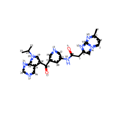 Cc1ccn2cc(CC(=O)Nc3cncc(C(=O)c4cn(C(C)C)c5ncncc45)c3)nc2n1